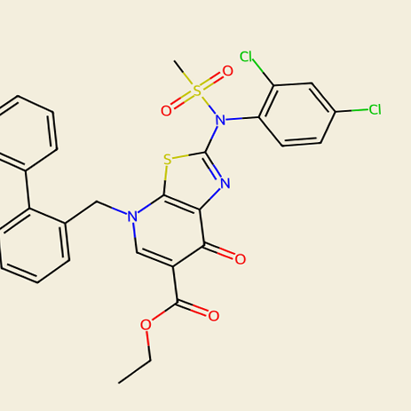 CCOC(=O)c1cn(Cc2ccccc2-c2ccccc2)c2sc(N(c3ccc(Cl)cc3Cl)S(C)(=O)=O)nc2c1=O